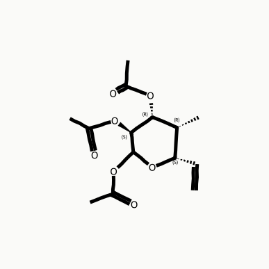 C=C[C@@H]1OC(OC(C)=O)[C@@H](OC(C)=O)[C@H](OC(C)=O)[C@@H]1C